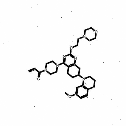 C=CC(=O)N1CCN(c2nc(OCCN3CCOCC3)nc3c2CCC(N2CCCc4ccc(OC)cc42)C3)CC1